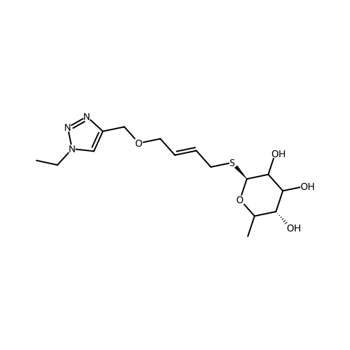 CCn1cc(COC/C=C/CS[C@@H]2OC(C)[C@@H](O)C(O)C2O)nn1